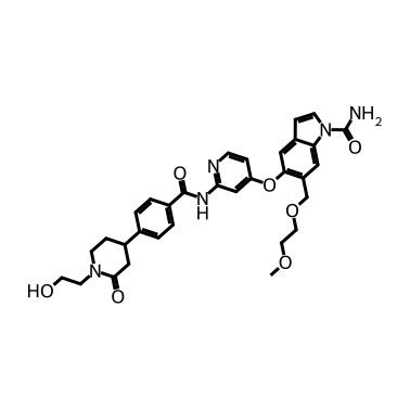 COCCOCc1cc2c(ccn2C(N)=O)cc1Oc1ccnc(NC(=O)c2ccc(C3CCN(CCO)C(=O)C3)cc2)c1